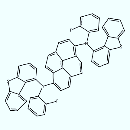 Fc1ccccc1N(c1ccc2ccc3c(N(c4ccccc4F)c4cccc5sc6ccccc6c45)ccc4ccc1c2c43)c1cccc2sc3ccccc3c12